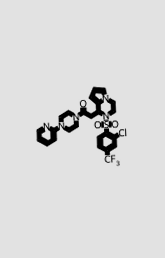 O=C(CC1c2cccn2CCN1S(=O)(=O)c1ccc(C(F)(F)F)cc1Cl)N1CCN(c2ccccn2)CC1